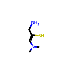 CN(C)/C=C(\S)CN